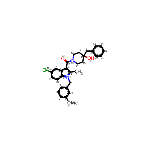 COc1cccc(Cn2c(C)c(C(=O)N3CCC(O)(Cc4ccccc4)CC3)c3cc(Cl)ccc32)c1